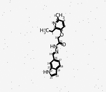 CCc1nc(C)ccc1OCC(=O)NN=Cc1ccc2cc[nH]c2c1